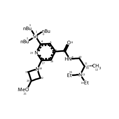 CCC[CH2][Sn]([CH2]CCC)([CH2]CCC)[c]1cc(C(=O)NC[C@H](C)N(CC)CC)cc(N2CC(OC)C2)n1